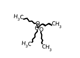 CC=CC=C[Si](OCCCCCC)(OCCCCCC)OCCCCCC